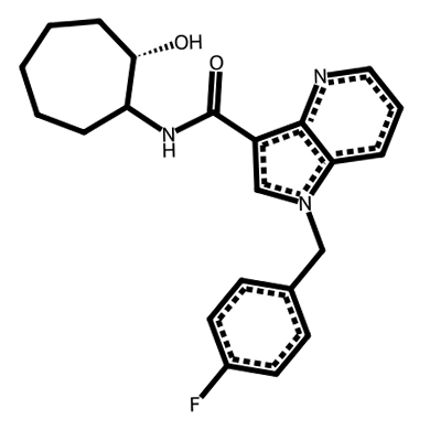 O=C(NC1CCCCC[C@@H]1O)c1cn(Cc2ccc(F)cc2)c2cccnc12